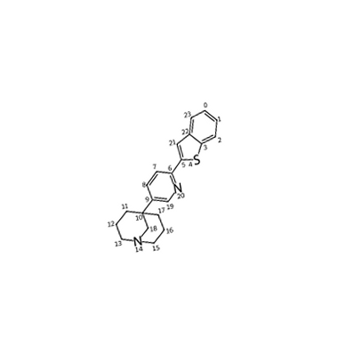 c1ccc2sc(-c3ccc(C45CCCN(CCC4)C5)cn3)cc2c1